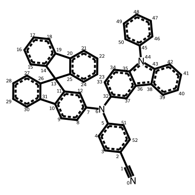 N#Cc1ccc(N(c2ccc3c(c2)C2(c4ccccc4-c4ccccc42)c2ccccc2-3)c2ccc3c(c2)c2ccccc2n3-c2ccccc2)cc1